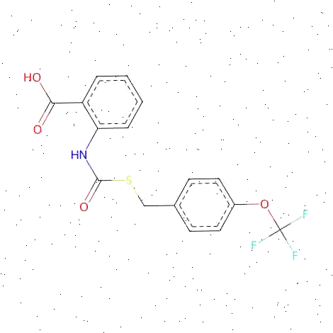 O=C(Nc1ccccc1C(=O)O)SCc1ccc(OC(F)(F)F)cc1